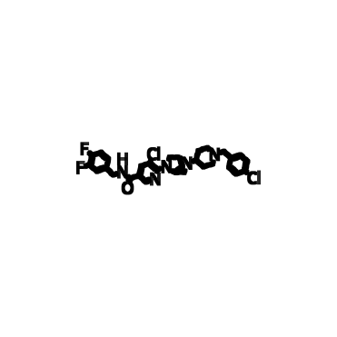 O=C(NCc1ccc(F)c(F)c1)c1cnc(N2CC3CC2CN3C2CCN(Cc3ccc(Cl)cc3)CC2)c(Cl)c1